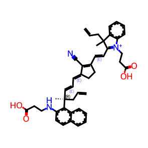 C=CCC1(C)C(/C=C/C2=C(C#N)C(=C/C=C/[C@@](C)(CC=C)c3c(NCCC(=O)O)ccc4ccccc34)/CC2)=[N+](CCC(=O)O)c2ccccc21